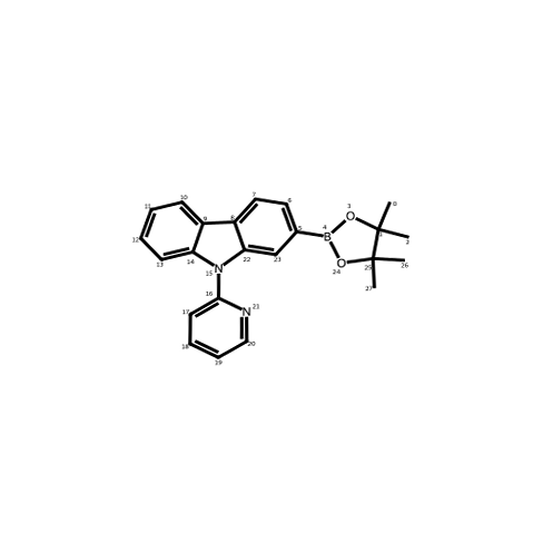 CC1(C)OB(c2ccc3c4ccccc4n(-c4ccccn4)c3c2)OC1(C)C